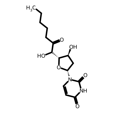 CCCCCC(=O)C(O)[C@H]1O[C@@H](n2ccc(=O)[nH]c2=O)C[C@@H]1O